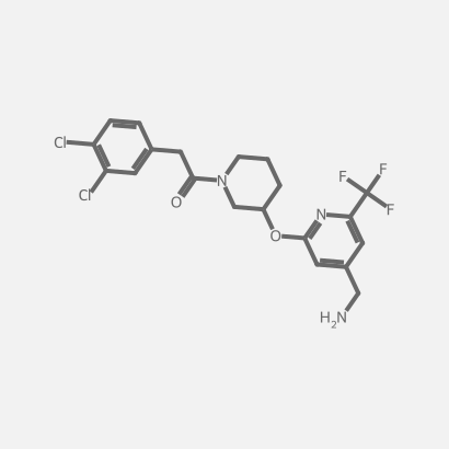 NCc1cc(OC2CCCN(C(=O)Cc3ccc(Cl)c(Cl)c3)C2)nc(C(F)(F)F)c1